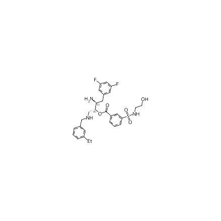 CCc1cccc(CNC[C@@H](OC(=O)c2cccc(S(=O)(=O)NCCO)c2)[C@@H](N)Cc2cc(F)cc(F)c2)c1